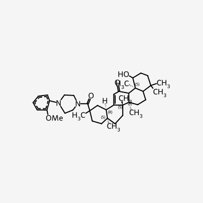 COc1ccccc1N1CCN(C(=O)C2(C)CC[C@]3(C)CC[C@]4(C)C(=CC(=O)C5[C@@]6(C)C(O)CCC(C)(C)C6CC[C@]54C)[C@@H]3C2)CC1